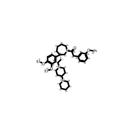 CCOc1ccc([C@@]2(CCN3CCC(N4CCCCC4)CC3)CCCCN(C(=O)Cc3cccc(OC(C)C)c3)C2)cc1OCC